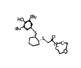 CC(C)(C)c1cc(S[C@@H]2CCCC[C@H]2SCC(=O)N2CCOCC2)cc(C(C)(C)C)c1O